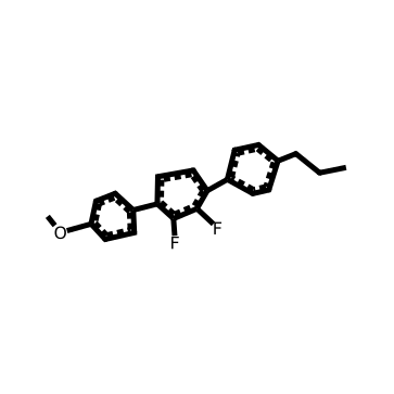 CCCc1ccc(-c2ccc(-c3ccc(OC)cc3)c(F)c2F)cc1